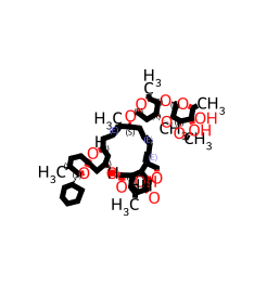 CO[C@@H]1C[C@H](O[C@H]2C/C=C/C=C3\CO[C@@H]4C(=O)C(C)=C[C@@H](C(=O)O[C@H]5C[C@@H](C/C=C/2C)OC2(CC[C@H](C)[C@@H](C6CCCCC6)O2)C5)[C@]34O)OC(C)[C@@H]1O[C@H]1C[C@@H](OC)C(O)(O)C(C)O1